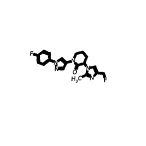 Cc1nc(CF)cn1C1CCCN(c2cnn(-c3ccc(F)cc3)c2)C1=O